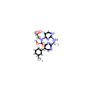 C[C@@H](Nc1ncc(F)c(N2C(=O)OC[C@@H]2[C@@H](C)O)n1)c1ncc(-c2cccc(C(F)(F)F)c2)cn1